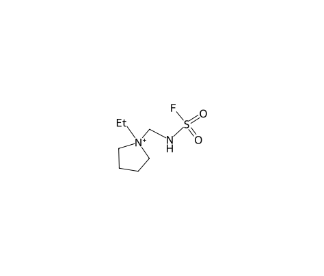 CC[N+]1(CNS(=O)(=O)F)CCCC1